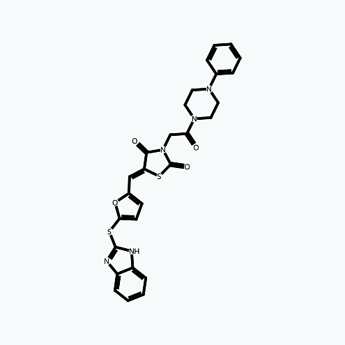 O=C(CN1C(=O)S/C(=C\c2ccc(Sc3nc4ccccc4[nH]3)o2)C1=O)N1CCN(c2ccccc2)CC1